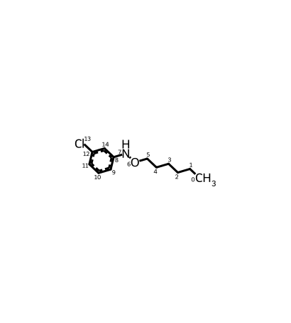 CCCCCCONc1cccc(Cl)c1